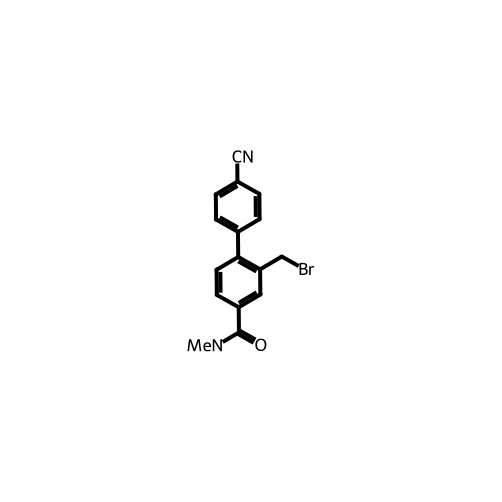 CNC(=O)c1ccc(-c2ccc(C#N)cc2)c(CBr)c1